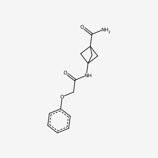 NC(=O)C12CC(NC(=O)COc3ccccc3)(C1)C2